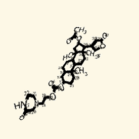 CC(=O)OC1CC2(O)C3CCC4CC(OC(=O)OCCN5CCNC(=O)C5)CCC4(C)C3CCC2(C)C1C1=CC(=O)OC1